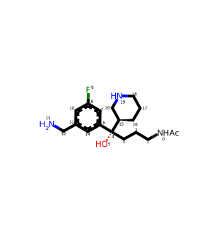 CC(=O)NCCC[C@@](O)(c1cc(F)cc(CN)c1)[C@@H]1CCCNC1